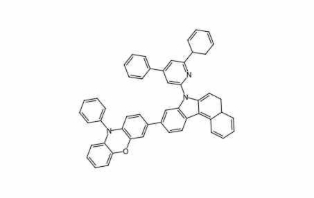 C1=CCC(c2cc(-c3ccccc3)cc(-n3c4c(c5ccc(-c6ccc7c(c6)Oc6ccccc6N7c6ccccc6)cc53)=C3C=CC=CC3CC=4)n2)C=C1